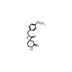 COc1ccc(CN2C[C@]3(CCNC(=O)C3)C2=O)cc1